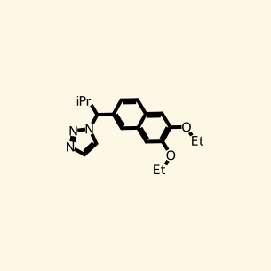 CCOc1cc2ccc(C(C(C)C)n3ccnn3)cc2cc1OCC